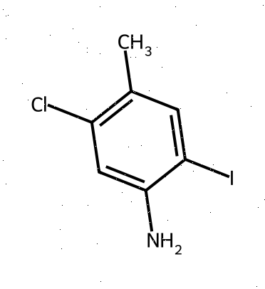 Cc1cc(I)c(N)cc1Cl